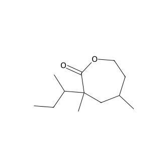 CCC(C)C1(C)CC(C)CCOC1=O